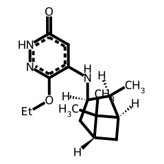 CCOc1n[nH]c(=O)cc1N[C@@H]1C[C@H]2C[C@H]([C@@H]1C)C2(C)C